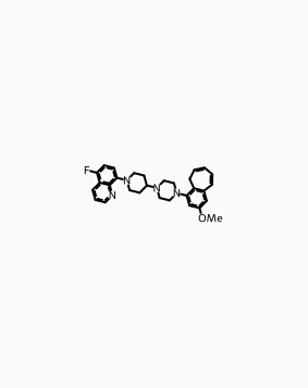 COc1cc2c(c(N3CCN(C4CCN(c5ccc(F)c6cccnc56)CC4)CC3)c1)CC=CC=C2